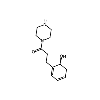 O=C(CCC1=CC=CC[C@@H]1O)N1CCNCC1